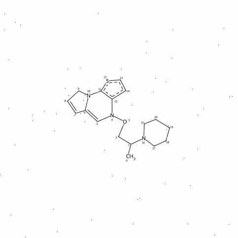 CC(CON1C=C2C=CCN2c2sccc21)N1CCCCC1